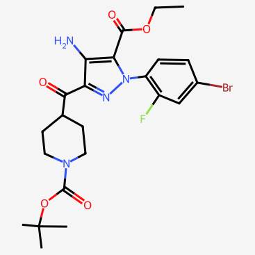 CCOC(=O)c1c(N)c(C(=O)C2CCN(C(=O)OC(C)(C)C)CC2)nn1-c1ccc(Br)cc1F